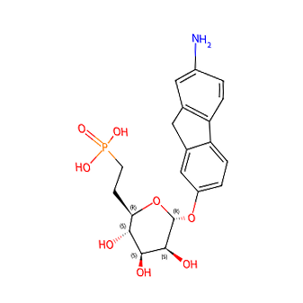 Nc1ccc2c(c1)Cc1cc(O[C@H]3O[C@H](CCP(=O)(O)O)[C@@H](O)[C@H](O)[C@@H]3O)ccc1-2